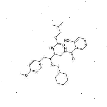 COc1ccc(CC(SCC2CCCCC2)C(CNC(=O)c2ccccc2O)NC(=O)OCC(C)C)cc1